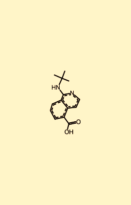 CC(C)(C)Nc1nccc2c(C(=O)O)cccc12